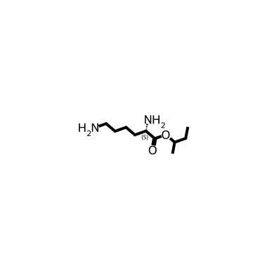 CCC(C)OC(=O)[C@@H](N)CCCCN